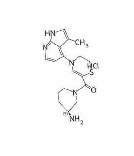 Cc1c[nH]c2nccc(N3C=C(C(=O)N4CCC[C@H](N)C4)SCC3)c12.Cl